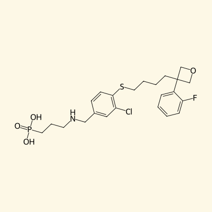 O=P(O)(O)CCCNCc1ccc(SCCCCC2(c3ccccc3F)COC2)c(Cl)c1